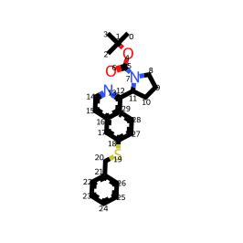 CC(C)(C)OC(=O)N1CCCC1c1nccc2cc(SCc3ccccc3)ccc12